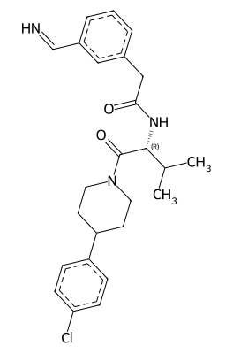 CC(C)[C@@H](NC(=O)Cc1cccc(C=N)c1)C(=O)N1CCC(c2ccc(Cl)cc2)CC1